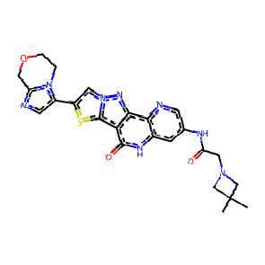 CC1(C)CN(CC(=O)Nc2cnc3c(c2)[nH]c(=O)c2c3nn3cc(-c4cnc5n4CCOC5)sc23)C1